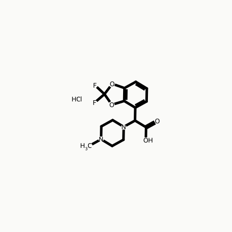 CN1CCN(C(C(=O)O)c2cccc3c2OC(F)(F)O3)CC1.Cl